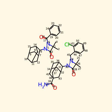 CC1(C)C(=O)N(C2C3CC4CC(C3)CC2C4)N1C(=O)c1ccccc1.CC1(C)C(=O)N(C2C3CC4CC2CC(C(N)=O)(C4)C3)N1Cc1ccccc1Cl